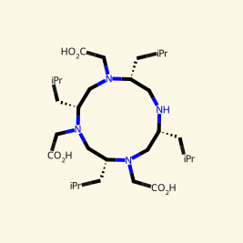 CC(C)C[C@@H]1CN(CC(=O)O)[C@H](CC(C)C)CN(CC(=O)O)[C@H](CC(C)C)CN(CC(=O)O)[C@H](CC(C)C)CN1